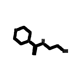 C=C(NCCO)N1CCOCC1